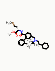 COC(=O)[C@H](CCSC)NC(=O)c1ccc(CN(CCC2CCCCC2)C(C)(C)C)cc1-c1ccccc1C